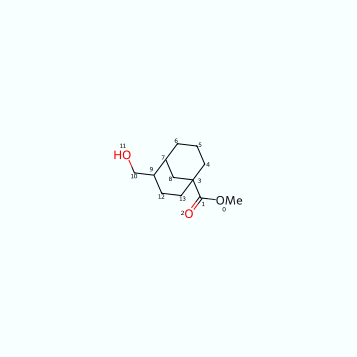 COC(=O)C12CCCC(C1)C(CO)CC2